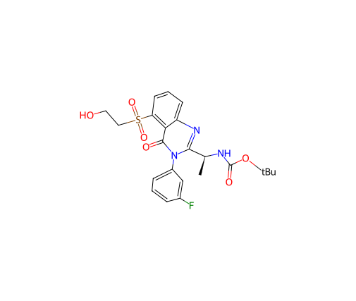 C[C@H](NC(=O)OC(C)(C)C)c1nc2cccc(S(=O)(=O)CCO)c2c(=O)n1-c1cccc(F)c1